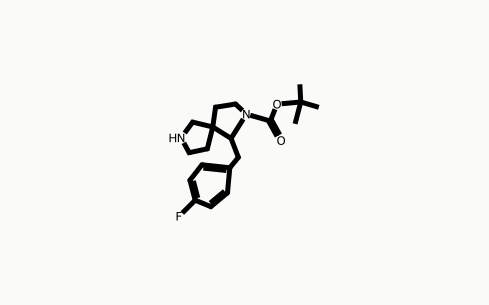 CC(C)(C)OC(=O)N1CCC2(CCNC2)C1Cc1ccc(F)cc1